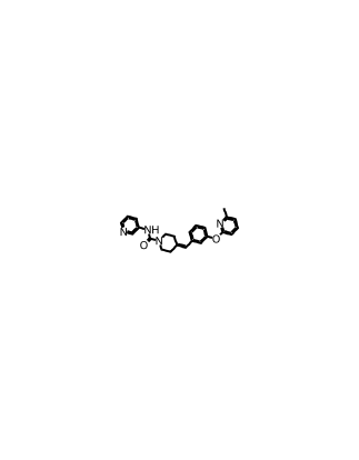 Cc1cccc(Oc2cccc(C=C3CCN(C(=O)Nc4cccnc4)CC3)c2)n1